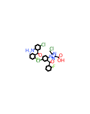 Nc1ccc(Cl)cc1C(=O)c1ccccc1F.O=C(O)c1nc(CCl)n(-c2ccc(Cl)cc2C(=O)c2ccccc2F)n1